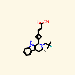 C[C@@H]1Cc2c([nH]c3ccccc23)[C@@H](C23CC(/C=C/C(=O)O)(C2)C3)N1CC(C)(C)F